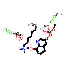 CCCCCCCCCCCCCCCC[N+](C)(C)C.CCO[Si](OCC)(OCC)OCC.O.Oc1cccc2cccnc12.[Al+3].[Cl-].[Cl-].[Cl-].[Cl-].[Cl-].[Cl-].[Co+2].[Na+].[OH-]